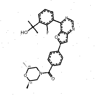 C[C@@H]1CN(C(=O)c2ccc(-c3cc4ncnc(-c5cccc(C(C)(C)O)c5F)c4o3)cc2)C[C@@H](C)O1